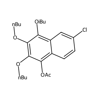 CCCCOc1c(OCCCC)c(OC(C)=O)c2ccc(Cl)cc2c1OCC(C)C